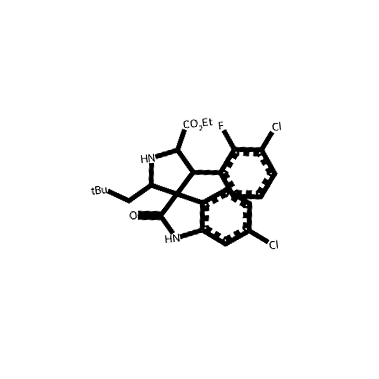 CCOC(=O)C1NC(CC(C)(C)C)C2(C(=O)Nc3cc(Cl)ccc32)C1c1cccc(Cl)c1F